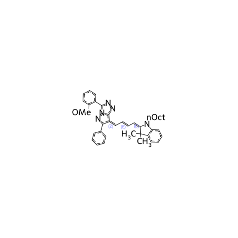 CCCCCCCCN1/C(=C/C=C/C=c2/c(-c3ccccc3)nn3c(-c4ccccc4OC)nnc23)C(C)(C)c2ccccc21